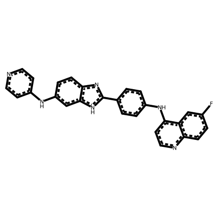 Fc1ccc2nccc(Nc3ccc(-c4nc5ccc(Nc6ccncc6)cc5[nH]4)cc3)c2c1